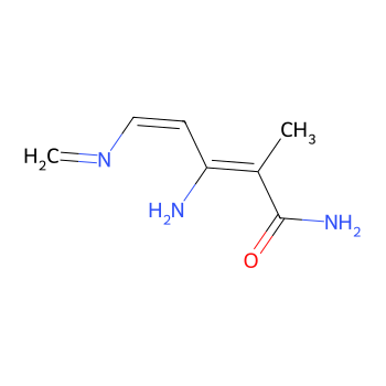 C=N/C=C\C(N)=C(/C)C(N)=O